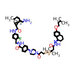 CC(C)/C=C\C(=C/N)C1CC1C(=O)Nc1ccc(CNC(=O)c2ccc(N3CCN(C(=O)CCSSC(C)(C)CC(=O)N/N=C4\CCCc5cc(OCCC(C)C)ccc54)CC3)cc2)c(F)c1